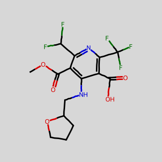 COC(=O)c1c(C(F)F)nc(C(F)(F)F)c(C(=O)O)c1NCC1CCCO1